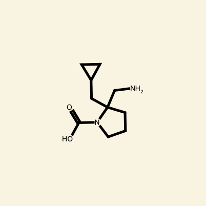 NCC1(CC2CC2)CCCN1C(=O)O